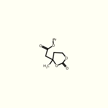 CC(C)OC(=O)CC1(C)CCOC(=O)O1